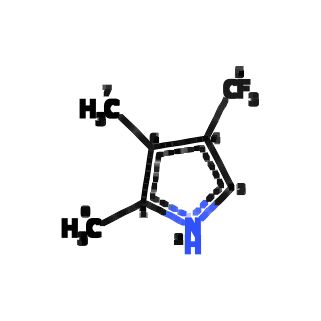 Cc1[nH]cc(C(F)(F)F)c1C